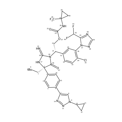 CC(C)(C)C[C@]1(c2ccc(-c3cn(C4CC4)nn3)cc2)NC(=N)N([C@H](COC(=O)NC2(C(F)(F)F)CC2)c2ccc(Cl)c(-n3ncnc3C(F)F)c2)C1=O